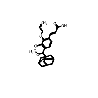 C=CCOc1c(C=CC(=O)O)ccc(C(OC)C23CC4CC(CC(C4)C2)C3)c1Cl